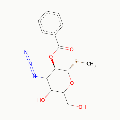 CS[C@@H]1OC(CO)[C@H](O)C(N=[N+]=[N-])[C@H]1OC(=O)c1ccccc1